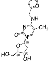 Cc1cn([C@H]2C[C@@H](O)[C@@H](CO)O2)c(=O)nc1NCc1ccco1